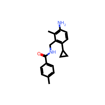 Cc1ccc(C(=O)NCc2c(C3CC3)ccc(N)c2C)cc1